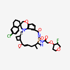 COC1/C=C/CC(C)C(C)S(=O)(NC(=O)COC2CCOCC2F)=NC(=O)c2ccc3c(c2)N(CC2CCC21)CC1(CCCc2cc(Cl)ccc21)CO3